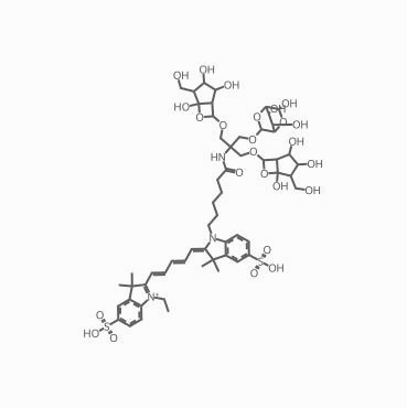 CC[N+]1=C(/C=C/C=C/C=C2/N(CCCCCC(=O)NC(COC3OC4C(O)OC3C(O)C4O)(COC3OC4(O)C(CO)C(O)C(O)C34)COC3OC4(O)C(CO)C(O)C(O)C34)c3ccc(S(=O)(=O)O)cc3C2(C)C)C(C)(C)c2cc(S(=O)(=O)O)ccc21